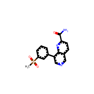 CS(=O)(=O)c1cccc(-c2cncc3ccc(C(N)=O)nc23)c1